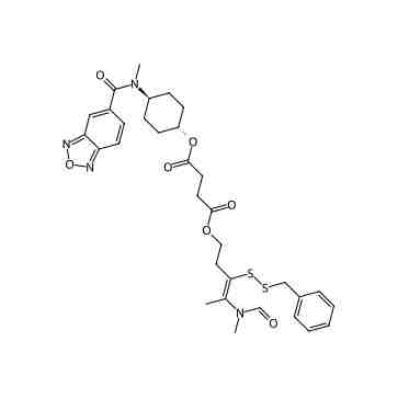 C/C(=C(\CCOC(=O)CCC(=O)O[C@H]1CC[C@H](N(C)C(=O)c2ccc3nonc3c2)CC1)SSCc1ccccc1)N(C)C=O